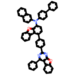 c1ccc(-c2ccc(N(c3ccc4ccccc4c3)c3ccc(-c4ccc(-c5nc(-c6ccccc6)c6c(n5)oc5ccccc56)cc4)c4c3oc3ccccc34)cc2)cc1